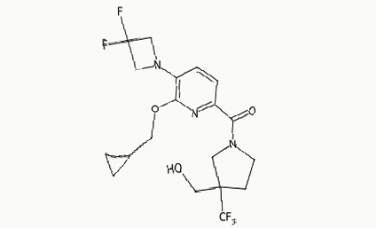 O=C(c1ccc(N2CC(F)(F)C2)c(OCC2CC2)n1)N1CCC(CO)(C(F)(F)F)C1